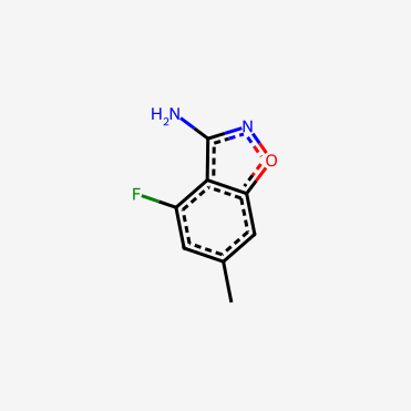 Cc1cc(F)c2c(N)noc2c1